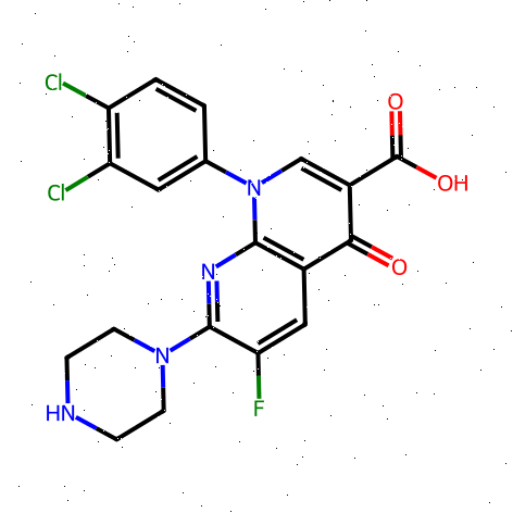 O=C(O)c1cn(-c2ccc(Cl)c(Cl)c2)c2nc(N3CCNCC3)c(F)cc2c1=O